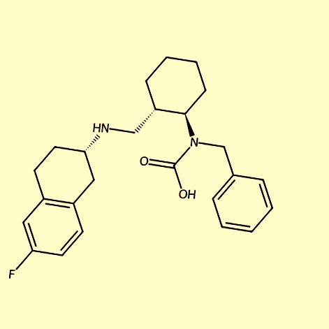 O=C(O)N(Cc1ccccc1)[C@@H]1CCCC[C@H]1CN[C@H]1CCc2cc(F)ccc2C1